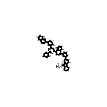 CC1(C)c2ccccc2-c2ccc(-c3cccc(-c4ccc(-c5cc(-c6cccc(-c7ccc8ccccc8c7)c6)nc(-c6ccccc6)n5)c5ccccc45)c3)cc21